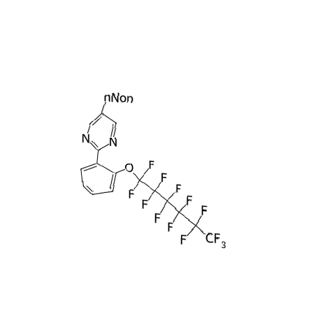 CCCCCCCCCc1cnc(-c2ccccc2OC(F)(F)C(F)(F)C(F)(F)C(F)(F)C(F)(F)C(F)(F)F)nc1